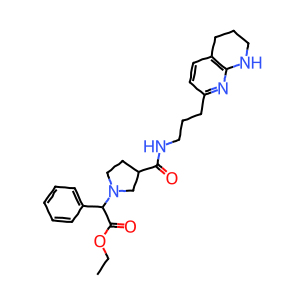 CCOC(=O)C(c1ccccc1)N1CCC(C(=O)NCCCc2ccc3c(n2)NCCC3)C1